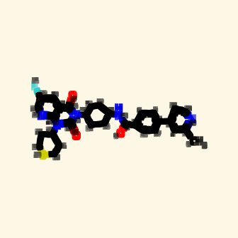 Cc1cc(-c2ccc(C(=O)NC3CCC(n4c(=O)c5cc(F)cnc5n(C5CCSCC5)c4=O)CC3)cc2)ccn1